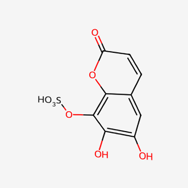 O=c1ccc2cc(O)c(O)c(OS(=O)(=O)O)c2o1